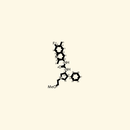 COCCN1C[C@@H](NC(=O)Nc2cc3cc(C)c(F)cc3nc2C)[C@H](c2ccccc2)C1